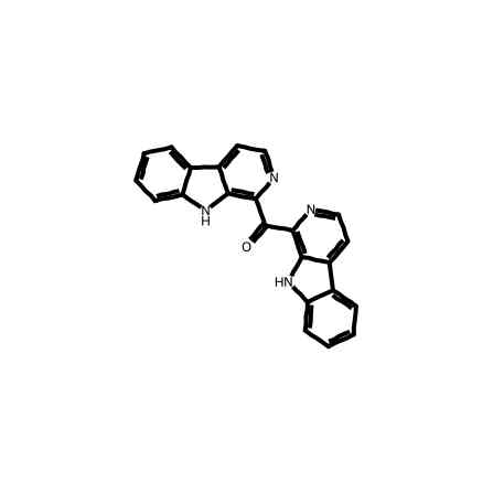 O=C(c1nccc2c1[nH]c1ccccc12)c1nccc2c1[nH]c1ccccc12